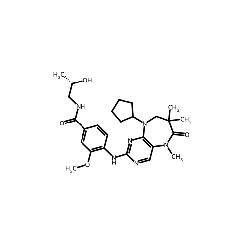 COc1cc(C(=O)NC[C@H](C)O)ccc1Nc1ncc2c(n1)N(C1CCCC1)CC(C)(C)C(=O)N2C